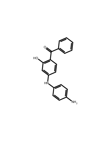 Nc1ccc(Nc2ccc(C(=O)c3ccccc3)c(O)c2)cc1